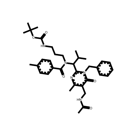 CC(=O)NCc1c(C)nc(C(C(C)C)N(CCCNC(=O)OC(C)(C)C)C(=O)c2ccc(C)cc2)n(Cc2ccccc2)c1=O